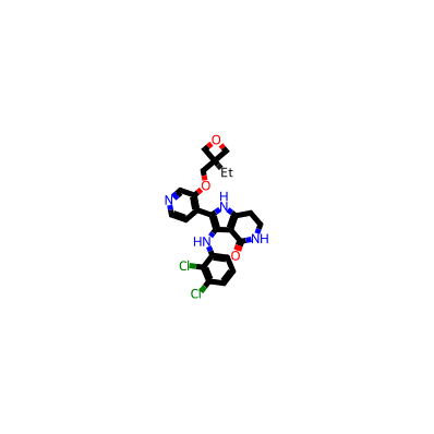 CCC1(COc2cnccc2-c2[nH]c3c(c2Nc2cccc(Cl)c2Cl)C(=O)NCC3)COC1